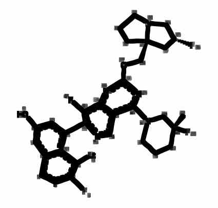 CCc1c(F)ccc2cc(O)cc(-c3ncc4c(N5CCC[C@@](C)(F)C5)nc(OC[C@@]56CCCN5C[C@H](F)C6)nc4c3F)c12